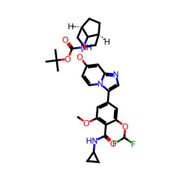 COc1cc(-c2cnc3cc(O[C@@H]4C[C@H]5CC[C@@H](C4)C5NC(=O)OC(C)(C)C)ccn23)cc(OC(F)F)c1C(=O)NC1CC1